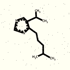 CC(C)CCCc1ncncc1C(C)C